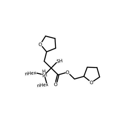 CCCCC[CH2][SnH]([CH2]CCCCC)[C](S)(CC1CCCO1)C(=O)OCC1CCCO1